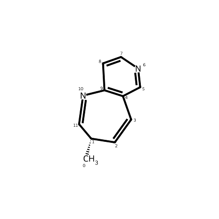 C[C@H]1C=Cc2cnccc2N=C1